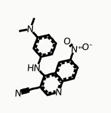 CN(C)c1cccc(Nc2c(C#N)cnc3ccc([N+](=O)[O-])cc23)c1